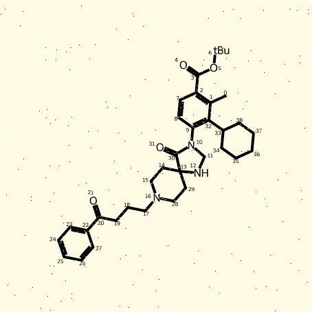 Cc1c(C(=O)OC(C)(C)C)ccc(N2CNC3(CCN(CCCC(=O)c4ccccc4)CC3)C2=O)c1C1CCCCC1